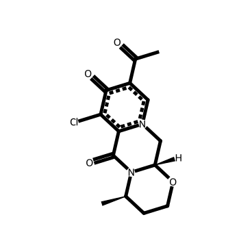 CC(=O)c1cn2c(c(Cl)c1=O)C(=O)N1[C@H](C)CCO[C@H]1C2